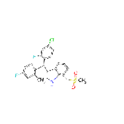 Cc1cc(F)ccc1C(c1ccc(Cl)cc1F)C1CNc2c(CS(C)(=O)=O)cccc21